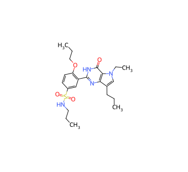 CCCNS(=O)(=O)c1ccc(OCCC)c(-c2nc3c(CCC)cn(CC)c3c(=O)[nH]2)c1